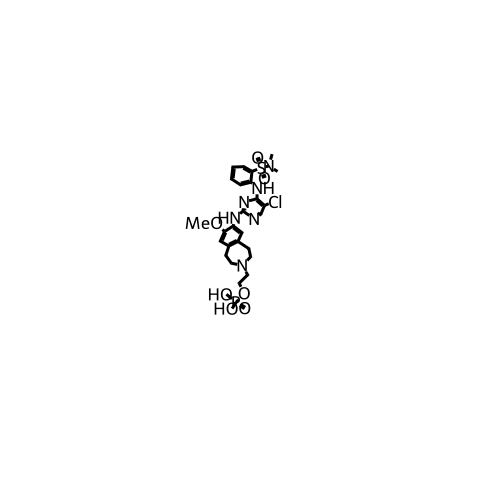 COc1cc2c(cc1Nc1ncc(Cl)c(Nc3ccccc3S(=O)(=O)N(C)C)n1)CCN(CCOP(=O)(O)O)CC2